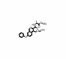 C[C@H](NC(=O)c1ncc2cc(Oc3ccccc3)ccc2c1COCO)C(=O)OC(C)(C)C